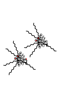 C=C(C)C(=O)OC(N(F)S(=O)(=O)CCCCCCCC)(N(F)S(=O)(=O)CCCCCCCC)C(N(F)S(=O)(=O)CCCCCCCC)(N(F)S(=O)(=O)CCCCCCCC)N(F)S(=O)(=O)CCCCCCCC.C=C(CC)C(=O)OC(N(F)S(=O)(=O)CCCCCCCC)(N(F)S(=O)(=O)CCCCCCCC)C(N(F)S(=O)(=O)CCCCCCCC)(N(F)S(=O)(=O)CCCCCCCC)N(F)S(=O)(=O)CCCCCCCC